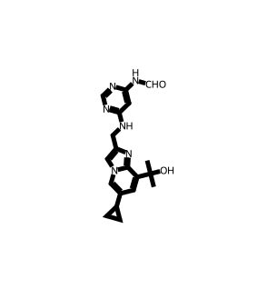 CC(C)(O)c1cc(C2CC2)cn2cc(CNc3cc(NC=O)ncn3)nc12